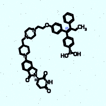 CC/C(=C(/c1ccc(OCCN2CCN(CC3CCN(c4ccc5c(c4)CN([C@H]4CCC(=O)NC4=O)C5=O)CC3)CC2)cc1)c1ccc(B(O)O)cc1)c1ccccc1